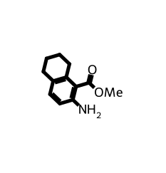 COC(=O)c1c(N)ccc2c1CCCC2